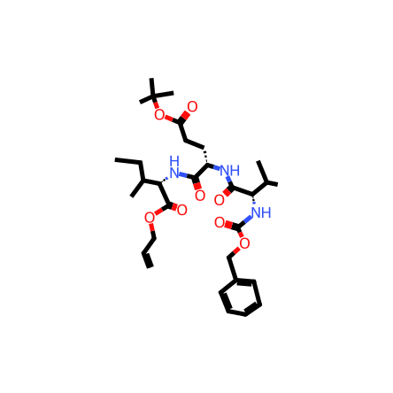 C=CCOC(=O)[C@@H](NC(=O)[C@H](CCC(=O)OC(C)(C)C)NC(=O)[C@@H](NC(=O)OCc1ccccc1)C(C)C)C(C)CC